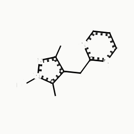 CCc1nn(C)c(C)c1Cc1ncccn1